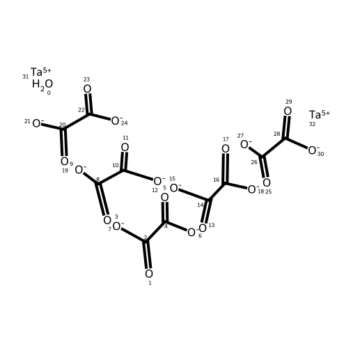 O.O=C([O-])C(=O)[O-].O=C([O-])C(=O)[O-].O=C([O-])C(=O)[O-].O=C([O-])C(=O)[O-].O=C([O-])C(=O)[O-].[Ta+5].[Ta+5]